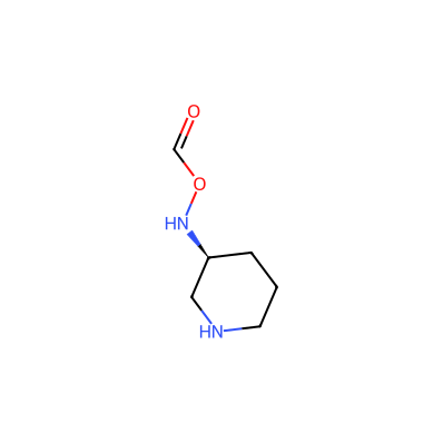 O=CON[C@H]1CCCNC1